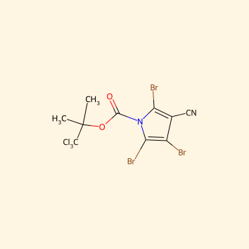 CC(C)(OC(=O)n1c(Br)c(Br)c(C#N)c1Br)C(Cl)(Cl)Cl